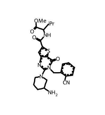 COC(=O)C(NC(=O)c1cc2nc(N3CCCC(N)C3)n(Cc3ccccc3C#N)c(=O)c2s1)C(C)C